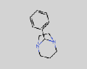 c1ccc(C2N3CCCN2CC3)cc1